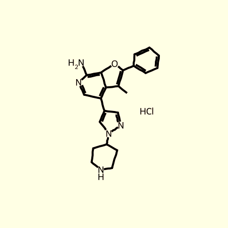 Cc1c(-c2ccccc2)oc2c(N)ncc(-c3cnn(C4CCNCC4)c3)c12.Cl